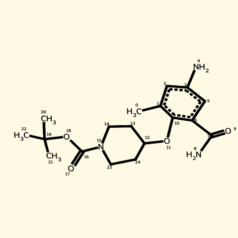 Cc1cc(N)cc(C(N)=O)c1OC1CCN(C(=O)OC(C)(C)C)CC1